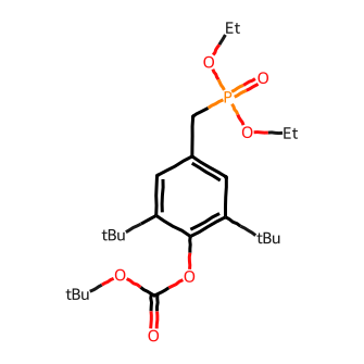 CCOP(=O)(Cc1cc(C(C)(C)C)c(OC(=O)OC(C)(C)C)c(C(C)(C)C)c1)OCC